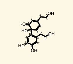 O=C1C=C(CCO)C=CC1(O)c1cc(O)c(O)cc1CCO